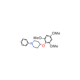 COc1cc(OC)c(OC2CCN(c3cc[c]cc3)CC2)c(OC)c1